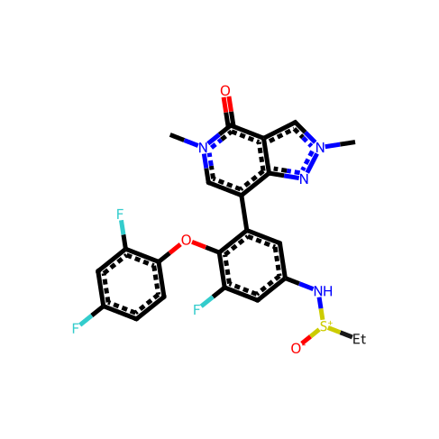 CC[S+]([O-])Nc1cc(F)c(Oc2ccc(F)cc2F)c(-c2cn(C)c(=O)c3cn(C)nc23)c1